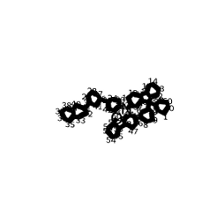 c1ccc(C2(c3ccccc3)c3ccccc3-c3ccc(N(c4ccc(-c5cccc(-c6ccc7ccccc7c6)c5)cc4)c4cccc5c4oc4ccccc45)cc32)cc1